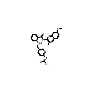 COc1ccc2cc(C)c(NC(=O)c3ccccc3NCc3ccc(OC(=O)O)nc3)nc2c1